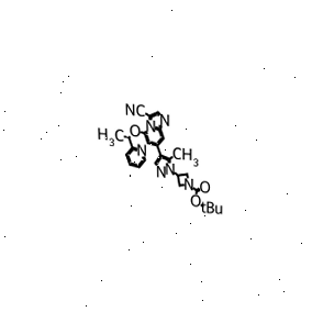 Cc1c(-c2cc(O[C@H](C)c3ccccn3)n3c(C#N)cnc3c2)cnn1C1CN(C(=O)OC(C)(C)C)C1